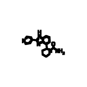 NC(=O)N1CCCCC1c1cccc2[nH]c(-c3ccncc3)nc12